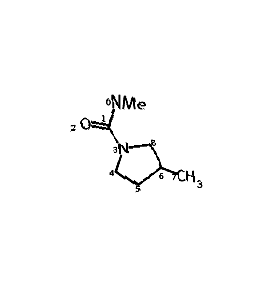 CNC(=O)N1CCC(C)C1